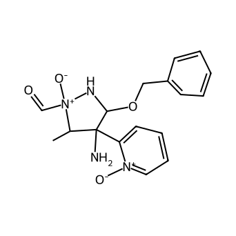 CC1C(N)(c2cccc[n+]2[O-])C(OCc2ccccc2)N[N+]1([O-])C=O